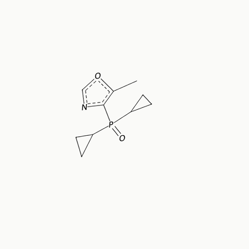 Cc1ocnc1P(=O)(C1CC1)C1CC1